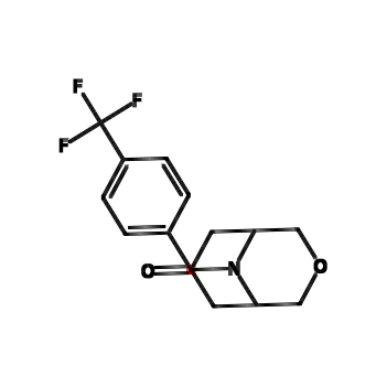 O=C1CC2COCC(C1)N2Cc1ccc(C(F)(F)F)cc1